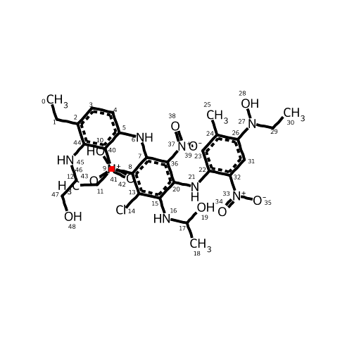 CCc1ccc(Nc2c(N(O)CC)c(Cl)c(NC(C)O)c(Nc3cc(C)c(N(O)CC)cc3[N+](=O)[O-])c2[N+](=O)[O-])c([N+](=O)[O-])c1NCCO